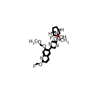 COCOc1cc2nc(OCF)ccc2cc1-c1cnc(N(C)[C@@H]2C[C@H]3CC[C@@H]([C@@H]2F)N3C(=O)O)cn1